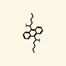 CCCCC(I)c1c2ccccc2c(C(I)CCCC)c2ccccc12